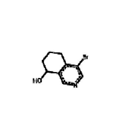 OC1CCCc2c(Br)cncc21